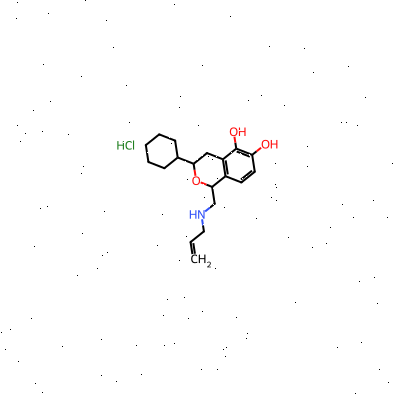 C=CCNCC1OC(C2CCCCC2)Cc2c1ccc(O)c2O.Cl